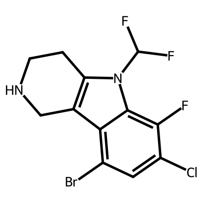 Fc1c(Cl)cc(Br)c2c3c(n(C(F)F)c12)CCNC3